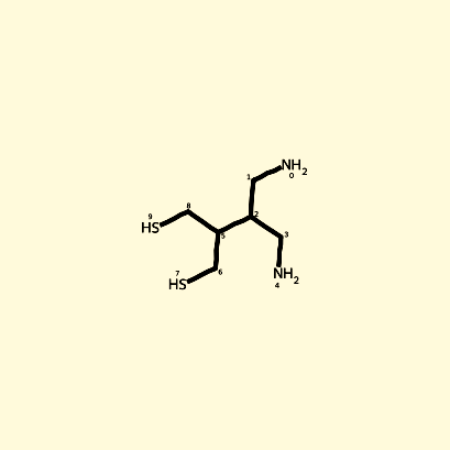 NCC(CN)C(CS)CS